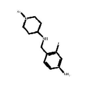 CC(=O)N1CCC(NCc2ccc(N)cc2F)CC1